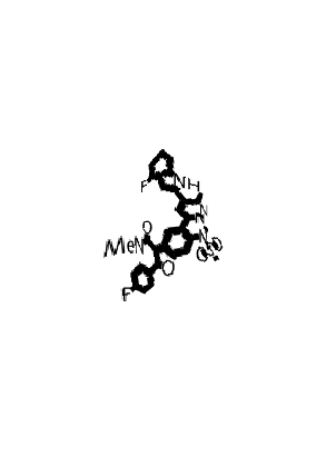 CNC(=O)c1c(-c2ccc(F)cc2)oc2cc(N(C)S(C)(=O)=O)c(-c3cc(-c4cc5c(F)cccc5[nH]4)c(C)nn3)cc12